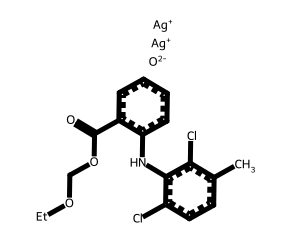 CCOCOC(=O)c1ccccc1Nc1c(Cl)ccc(C)c1Cl.[Ag+].[Ag+].[O-2]